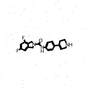 O=C(Nc1ccc(C2=CCNCC2)cc1)N1Cc2cc(F)cc(F)c2C1